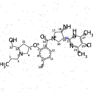 CCCN1CC(Oc2cc(F)ccc2C(=O)N2CC(=N)/C(=C3/N=C(C)C(Cl)=C(C)N3)C2)CC1CO